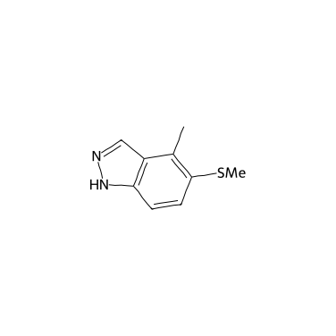 CSc1ccc2[nH]ncc2c1C